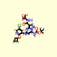 CN(C(=O)OC(C)(C)C)c1cc(Nc2cc(Cl)cnc2OC2CCC2)nc2c(C(=O)NC3COC3)cnn12